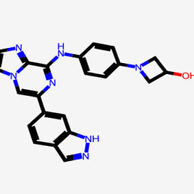 OC1CN(c2ccc(Nc3nc(-c4ccc5cn[nH]c5c4)cn4ccnc34)cc2)C1